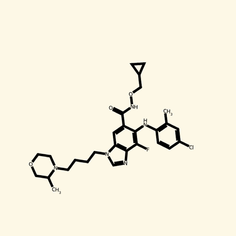 Cc1cc(Cl)ccc1Nc1c(C(=O)NOCC2CC2)cc2c(ncn2CCCCN2CCOCC2C)c1F